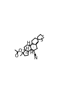 CC(=O)O[C@@]1(C)CC[C@H]2[C@@H]3[C@H](C#N)CC4=CC5(CCSS5)CC[C@]4(C)[C@H]3CC[C@@]21C